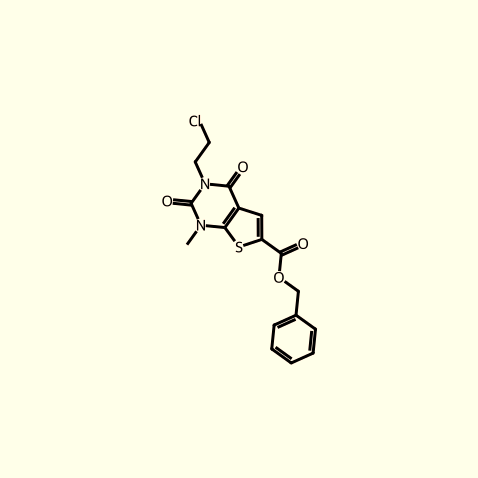 Cn1c(=O)n(CCCl)c(=O)c2cc(C(=O)OCc3ccccc3)sc21